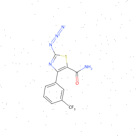 [N-]=[N+]=Nc1nc(-c2cccc(C(F)(F)F)c2)c(C(N)=O)s1